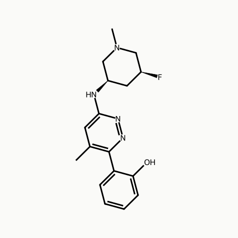 Cc1cc(N[C@@H]2C[C@H](F)CN(C)C2)nnc1-c1ccccc1O